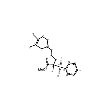 COC(=O)C(C)(CCCN1CCC(C)=C(C)C1)S(=O)(=O)c1ccccc1